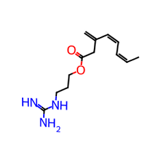 C=C(/C=C\C=C/C)CC(=O)OCCCNC(=N)N